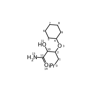 CC(C)CC(OC1CCCCC1)C(O)C(N)=O